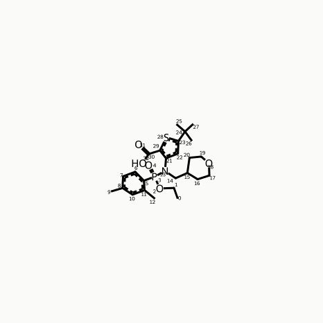 CCOP(=O)(c1ccc(C)cc1C)N(CC1CCOCC1)c1cc(C(C)(C)C)sc1C(=O)O